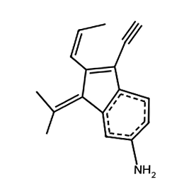 C#CC1=C(/C=C\C)C(=C(C)C)c2cc(N)ccc21